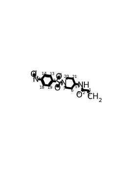 C=CC(=O)NC1CCN(S(=O)(=O)c2ccc(N=O)cc2)CC1